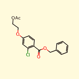 CC(=O)OCCOc1ccc(C(=O)OCc2ccccc2)c(Cl)c1